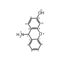 NC1c2ccccc2Oc2cc(O)ccc21